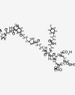 C#C[C@H]1CC(F)(F)CN1C(=O)CNC(=O)c1ccnc2ccc(OCCCCC3CCN(C(=O)CCCCCNC(=O)[C@H](CSCCNC(=O)CCCc4ccc(C)cc4)NC(=O)CN4CCN(COC=O)CCN(COC=O)CCN(CC(=O)O)CC4)CC3)cc12